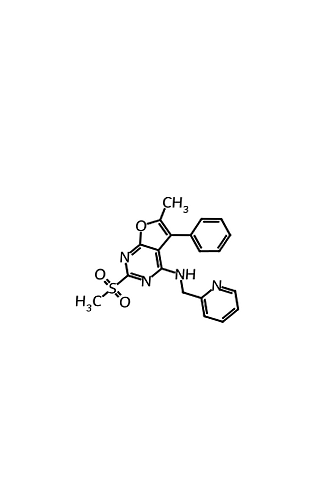 Cc1oc2nc(S(C)(=O)=O)nc(NCc3ccccn3)c2c1-c1ccccc1